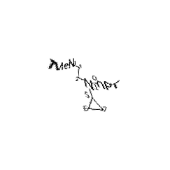 CCCN(CCNC)C1CC1